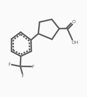 O=C(O)C1CCC(c2cccc(C(F)(F)F)c2)C1